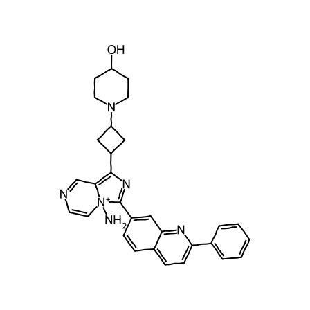 N[N+]12C=CN=CC1=C(C1CC(N3CCC(O)CC3)C1)N=C2c1ccc2ccc(-c3ccccc3)nc2c1